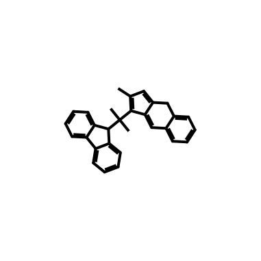 CC1=C(C(C)(C)C2c3ccccc3-c3ccccc32)C2=Cc3ccccc3CC2=C1